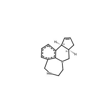 C1=C[C@@H]2c3cccc4c3N(CCNC4)C[C@@H]2C1